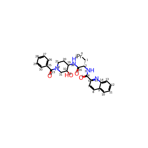 CC(C)C[C@H](NC(=O)c1ccc2ccccc2n1)C(=O)NC1CCN(C(=O)c2ccccc2)CC1O